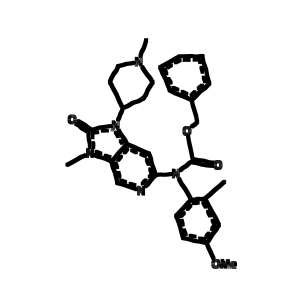 COc1ccc(N(C(=O)OCc2ccccc2)c2cc3c(cn2)n(C)c(=O)n3C2CCN(C)CC2)c(C)c1